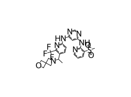 CC(c1ccc(Nc2cc(Nc3ncccc3S(C)(=O)=O)ncn2)nc1C(F)(F)F)N1CC2(COC2)C1